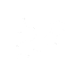 N=c1nc(-c2c[nH]c3ccccc23)c2c(=O)[nH]c(=S)[nH]c2[nH]1